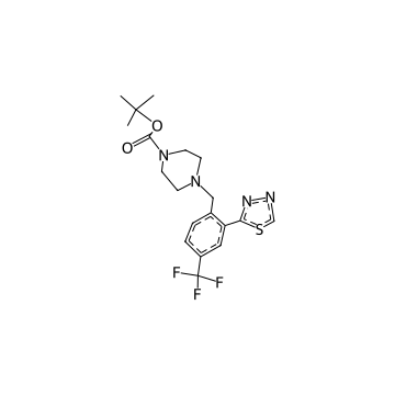 CC(C)(C)OC(=O)N1CCN(Cc2ccc(C(F)(F)F)cc2-c2nncs2)CC1